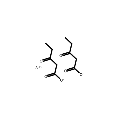 CCC(=O)CC(=O)[O-].CCC(=O)CC(=O)[O-].[Al+2]